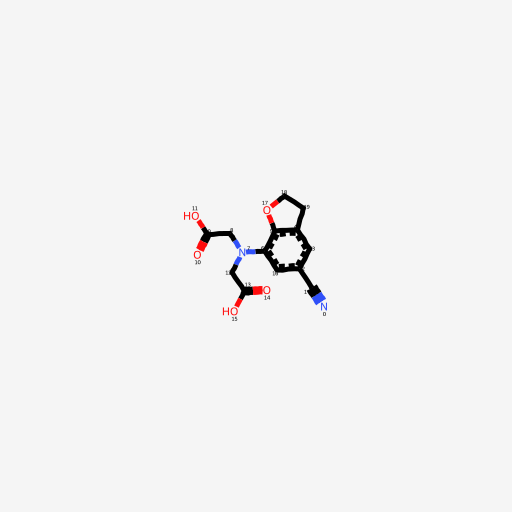 N#Cc1cc2c(c(N(CC(=O)O)CC(=O)O)c1)OCC2